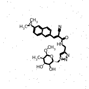 CO[C@H]1O[C@H](Cn2cc(CNC(=O)/C(C#N)=C/c3ccc4cc(N(C)C)ccc4c3)nn2)[C@@H](O)[C@H](O)[C@H]1C